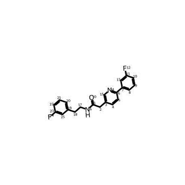 O=C(Cc1ccc(-c2cccc(F)c2)nc1)NCCc1cccc(F)c1